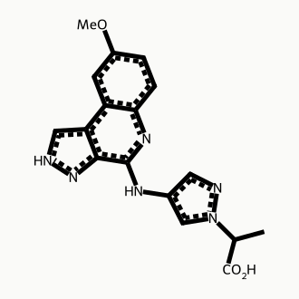 COc1ccc2nc(Nc3cnn(C(C)C(=O)O)c3)c3n[nH]cc3c2c1